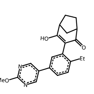 CCc1ccc(-c2cnc(OC)nc2)cc1C1=C(O)C2CCC(C2)C1=O